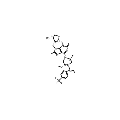 CC[C@@H]1CN(c2nc(=O)n(C)c3c2nc(C)n3C[C@H]2OCC[C@H]2O)[C@@H](C)CN1[C@@H](CC)c1ccc(C(F)(F)F)cc1